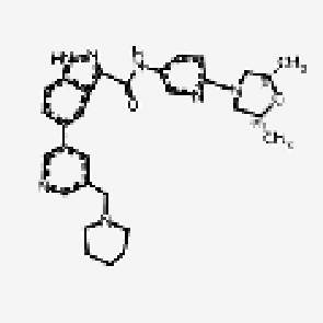 C[C@@H]1CN(c2ccc(NC(=O)c3n[nH]c4ccc(-c5cncc(CN6CCCCC6)c5)cc34)cn2)C[C@H](C)O1